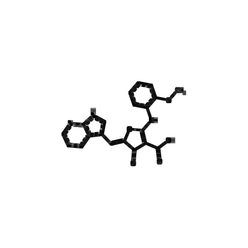 COc1ccccc1NC1=C(C(=O)O)C(=O)C(=Cc2c[nH]c3ncccc23)O1